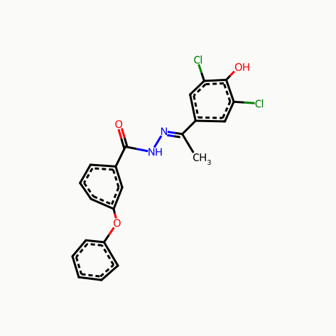 C/C(=N\NC(=O)c1cccc(Oc2ccccc2)c1)c1cc(Cl)c(O)c(Cl)c1